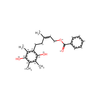 CC(=CCOC(=O)c1ccccc1)CCc1c(C)c(O)c(C)c(C)c1O